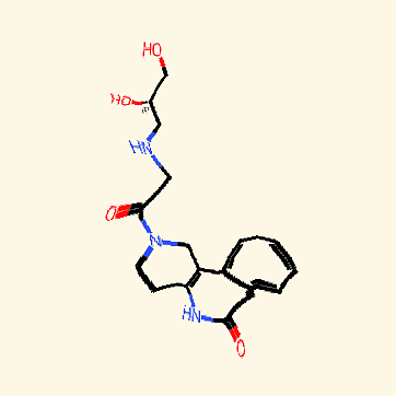 O=C(CNC[C@@H](O)CO)N1CCc2[nH]c(=O)c3ccccc3c2C1